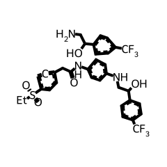 CCS(=O)(=O)c1ccc(CC(=O)Nc2ccc(NCC(O)c3ccc(C(F)(F)F)cc3)cc2)cc1.NCC(O)c1ccc(C(F)(F)F)cc1